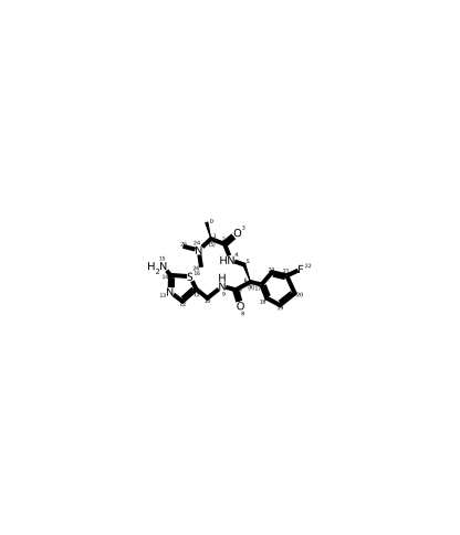 C[C@@H](C(=O)NC[C@H](C(=O)NCc1cnc(N)s1)c1cccc(F)c1)N(C)C